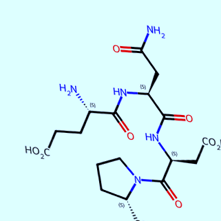 NC(=O)C[C@H](NC(=O)[C@@H](N)CCC(=O)O)C(=O)N[C@@H](CC(=O)O)C(=O)N1CCC[C@H]1C(=O)O